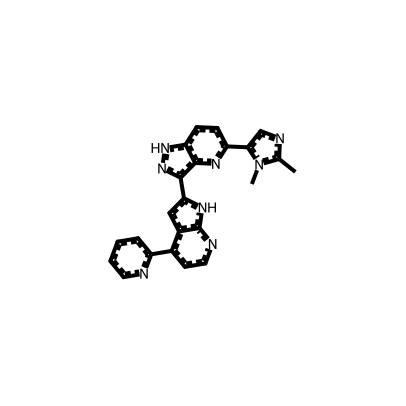 Cc1ncc(-c2ccc3[nH]nc(-c4cc5c(-c6ccccn6)ccnc5[nH]4)c3n2)n1C